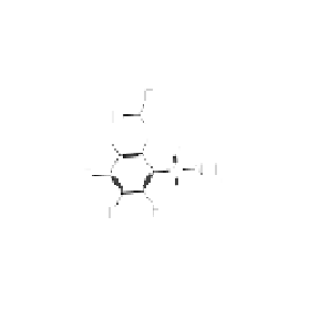 NS(=O)(=O)c1c(F)c(F)c(F)c(F)c1OC(F)F